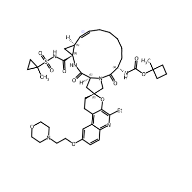 CCc1nc2ccc(OCCN3CCOCC3)cc2c2c1O[C@]1(CC2)C[C@H]2C(=O)N[C@]3(C(=O)NS(=O)(=O)C4(C)CC4)C[C@H]3/C=C\CCCCC[C@H](NC(=O)OC3(C)CCC3)C(=O)N2C1